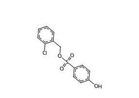 O=S(=O)(OCc1ccccc1Cl)c1ccc(O)cc1